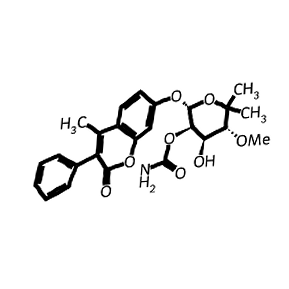 CO[C@@H]1[C@@H](O)[C@@H](OC(N)=O)[C@H](Oc2ccc3c(C)c(-c4ccccc4)c(=O)oc3c2)OC1(C)C